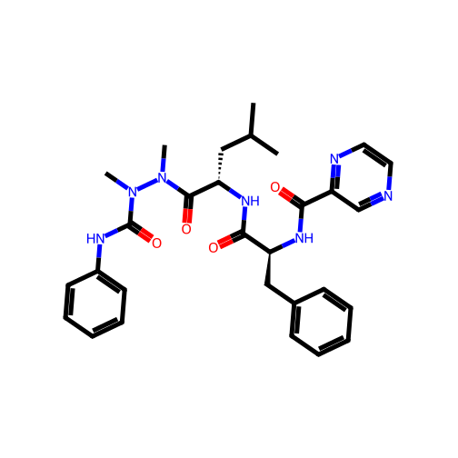 CC(C)C[C@H](NC(=O)[C@H](Cc1ccccc1)NC(=O)c1cnccn1)C(=O)N(C)N(C)C(=O)Nc1ccccc1